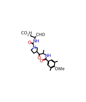 COc1c(C)cc(C(=O)NC(C)C(=O)C2CCN(C(=O)NC(C=O)CC(=O)O)C2)cc1C